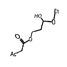 CCOC(O)CCOC(=O)CC(C)=O